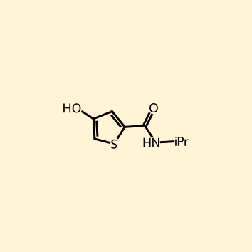 CC(C)NC(=O)c1cc(O)cs1